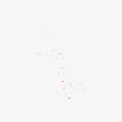 COc1cc2c(Oc3ccc(NC(=O)c4nn(-c5ccccc5F)c5ccccc5c4=O)cc3F)ccnc2cc1OCCCN1CCC(C)CC1